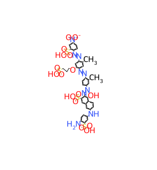 Cc1cc(N=Nc2c(S(=O)(=O)O)cc3cc(Nc4ccc(N)c(S(=O)(=O)O)c4)ccc3c2O)ccc1N=Nc1cc(C)c(N=Nc2ccc([N+](=O)[O-])cc2S(=O)(=O)O)cc1OCCCS(=O)(=O)O